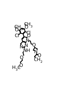 C=CC(=O)N1CC(OCCn2c(=O)c(-c3c(Cl)c(OC)cc(OC)c3Cl)cc3cnc(NCCOCCOC)nc32)C1